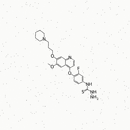 COc1cc2c(Oc3ccc(NC(=S)NN)cc3F)ccnc2cc1OCCCN1CCCCC1